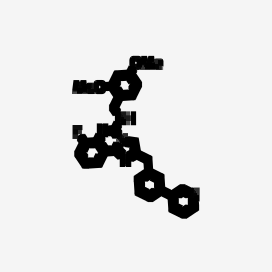 COc1ccc(CNc2nc3c(F)cccc3c3nc(Cc4cccc(-c5cccnc5)c4)cn23)c(OC)c1